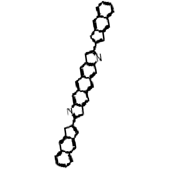 C1=C(C2=Nc3cc4cc5cc6c(cc5cc4cc3C2)N=C(C2=Cc3cc4ccccc4cc3C2)C6)Cc2cc3ccccc3cc21